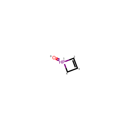 O=[PH]1C=CC1